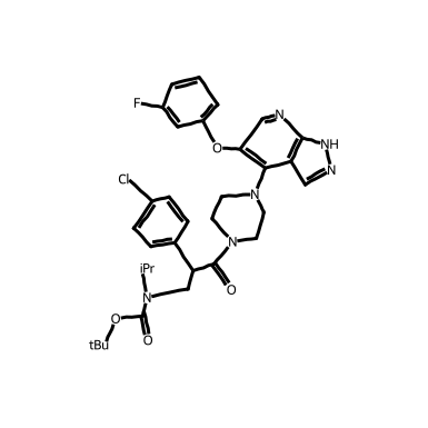 CC(C)N(CC(C(=O)N1CCN(c2c(Oc3cccc(F)c3)cnc3[nH]ncc23)CC1)c1ccc(Cl)cc1)C(=O)OC(C)(C)C